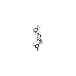 O=C1N2[C@H](c3cc(F)cc(F)c3)CCN2CC12CCN(c1cc(Cl)ccn1)CC2